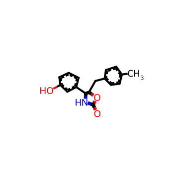 Cc1ccc(Cc2oc(=O)[nH]c2-c2cccc(O)c2)cc1